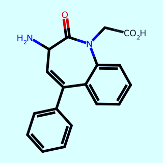 NC1C=C(c2ccccc2)c2ccccc2N(CC(=O)O)C1=O